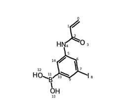 C=CC(=O)Nc1cc(I)cc(B(O)O)c1